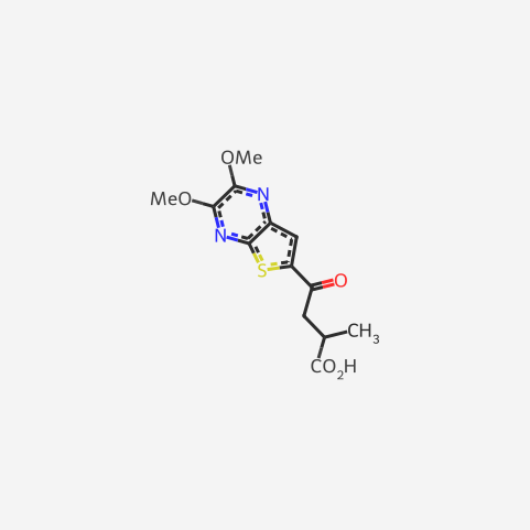 COc1nc2cc(C(=O)CC(C)C(=O)O)sc2nc1OC